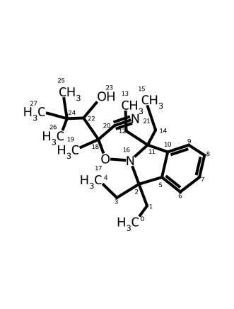 CCC1(CC)c2ccccc2C(CC)(CC)N1OC(C)(C#N)C(O)C(C)(C)C